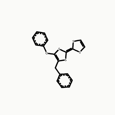 C1=CSC(=C2SC(Cc3ccccc3)=C(Oc3ccccc3)S2)S1